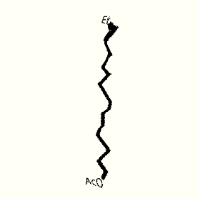 CCC=CCCCCCCCCCCCOC(C)=O